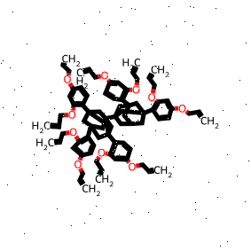 C=CCOc1ccc(C23CC4CC(c5ccc(OCC=C)cc5OCC=C)(C2)CC(C25CC6(c7ccc(OCC=C)cc7OCC=C)CC(c7ccc(OCC=C)cc7OCC=C)(CC(c7ccc(OCC=C)cc7OCC=C)(C6)C2)C5)(C4)C3)c(OCC=C)c1